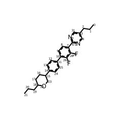 CCCc1cnc(-c2ccc(-c3ccc(C4CCC(CCC)OC4)cc3)c(F)c2F)nc1